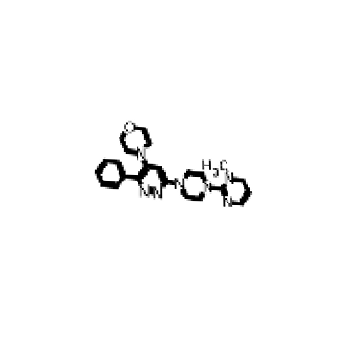 CN1CC=CN=C1N1CCN(c2cc(N3CCOCC3)c(-c3ccccc3)nn2)CC1